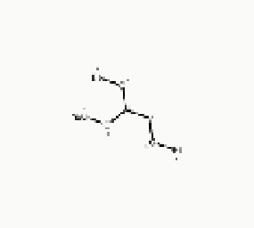 [CH2]COCC(OCC)OCCCC